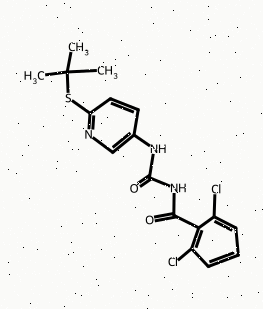 CC(C)(C)Sc1ccc(NC(=O)NC(=O)c2c(Cl)cccc2Cl)cn1